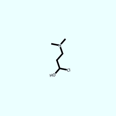 CN(C)CCC(O)Cl